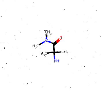 CN(C)C(=O)C(C)(C)[NH]